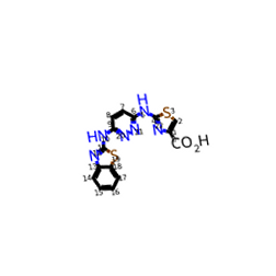 O=C(O)c1csc(Nc2ccc(Nc3nc4ccccc4s3)nn2)n1